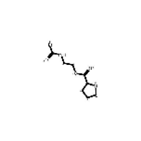 CCC(=O)NCCOC(=O)C1CCCO1